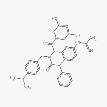 CN(C)c1ccc(CN(C(=O)C(c2ccccc2)c2ccccc2)[C@@H](CCCNC(=N)N)C(=O)N(CC(=O)O)CC(=O)O)cc1